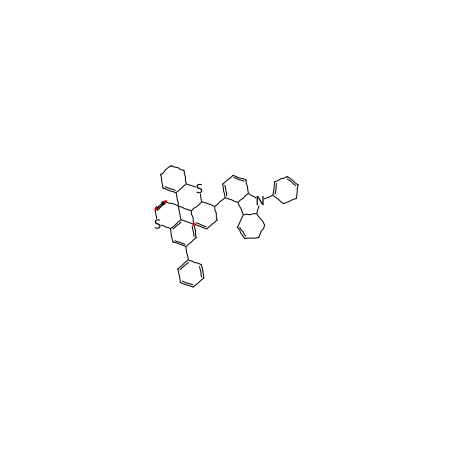 C1=CCCC(N2C3C=CC=C(C4CC=CC5C4SC4CCCC=C4C54c5ccccc5Sc5cc(-c6ccccc6)ccc54)C3C3C=CCCC32)=C1